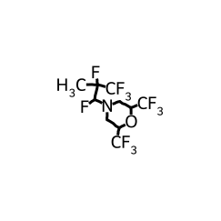 CC(F)(C(F)N1CC(C(F)(F)F)OC(C(F)(F)F)C1)C(F)(F)F